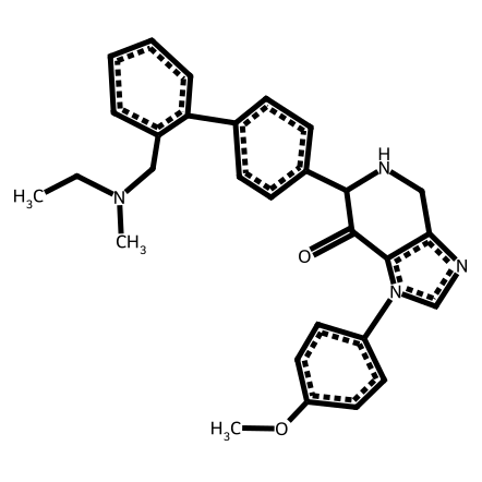 CCN(C)Cc1ccccc1-c1ccc(C2NCc3ncn(-c4ccc(OC)cc4)c3C2=O)cc1